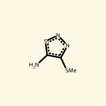 [CH2]Sc1nnsc1N